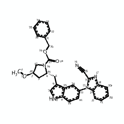 CO[C@@H]1C[C@@H](Cc2c[nH]c3ccc(-n4c(C#N)nc5ccccc54)cc23)N(C(=O)OCc2ccccc2)C1